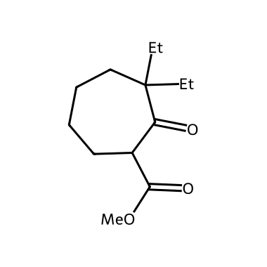 CCC1(CC)CCCCC(C(=O)OC)C1=O